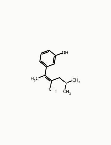 CC(CN(C)C)=C(C)c1cccc(O)c1